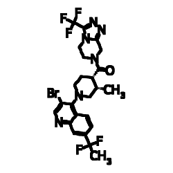 C[C@@H]1CN(c2c(Br)cnc3cc(C(C)(F)F)ccc23)CC[C@@H]1C(=O)N1CCn2c(nnc2C(F)(F)F)C1